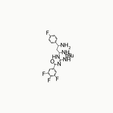 CC(C)(C)N/C(=N/C(=O)c1cc(F)c(F)c(F)c1)NC(N)CC(N)c1ccc(F)cc1